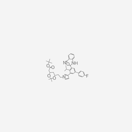 CC(C)c1c(C(=O)Nc2ccccc2C#N)cc(-c2ccc(F)cc2)cc1-c1ccn(CCC2CC(CC(=O)OC(C)(C)C)OC(C)(C)O2)c1